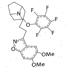 COc1cc2onc(CCCN3C4CCC3CC(Oc3c(F)c(F)c(F)c(F)c3F)C4)c2cc1OC